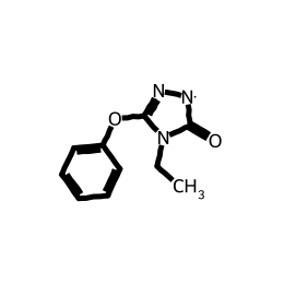 CCN1C(=O)[N]N=C1Oc1ccccc1